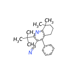 CC(C)(C)c1nc2c(c(-c3ccccc3)c1C#N)CCCC2(C)C